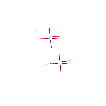 O=P([O-])([O-])[O-].O=P([O-])([O-])[O-].[Fe+2].[Ga+3].[Li+]